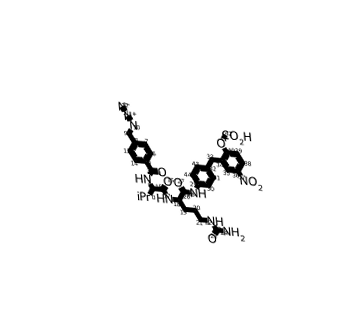 CC(C)C(NC(=O)c1ccc(CN=[N+]=[N-])cc1)C(=O)NC(CCCNC(N)=O)C(=O)Nc1ccc(Cc2cc([N+](=O)[O-])ccc2OC(=O)O)cc1